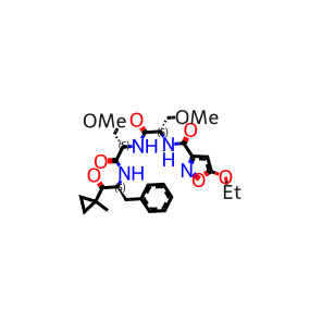 CCOc1cc(C(=O)N[C@@H](COC)C(=O)N[C@@H](COC)C(=O)N[C@@H](Cc2ccccc2)C(=O)C2(C)CC2)no1